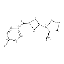 C[C@@H]1CCCN1C1CC(Oc2ccc(I)cc2)C1